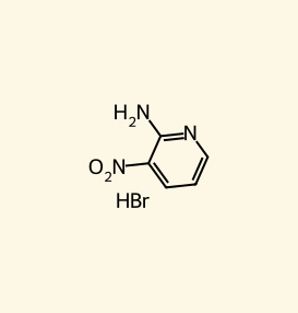 Br.Nc1ncccc1[N+](=O)[O-]